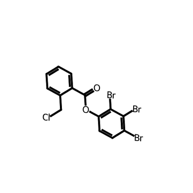 O=C(Oc1ccc(Br)c(Br)c1Br)c1ccccc1CCl